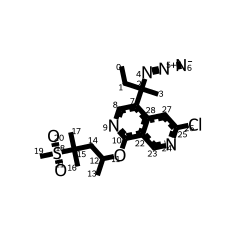 CCC(C)(N=[N+]=[N-])c1cnc(OC(C)CC(C)(C)S(C)(=O)=O)c2cnc(Cl)cc12